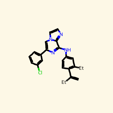 C=C(CC)c1ccc(Nc2nc(-c3cccc(Cl)c3)cn3ccnc23)cc1CC